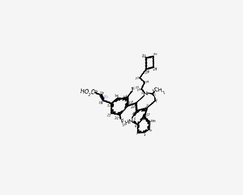 CC1Cc2c([nH]c3ccccc23)C(c2c(F)cc(/C=C/C(=O)O)cc2F)N1CCCC1CCC1